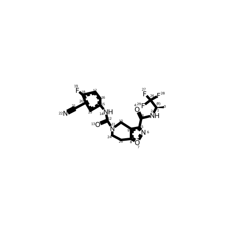 C[C@@H](NC(=O)c1noc2c1CN(C(=O)Nc1ccc(F)c(C#N)c1)CC2)C(F)(F)F